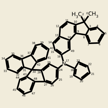 CC1(C)c2ccccc2-c2c1ccc1ccc(N(c3ccccc3)c3ccc4c(c3)C3(c5ccccc5-c5ccccc53)c3ccccc3-4)cc21